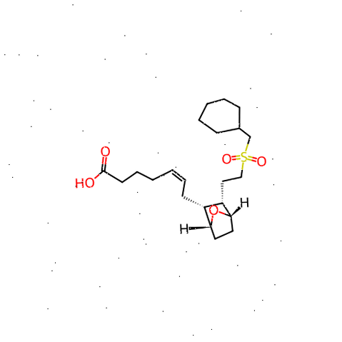 O=C(O)CCC/C=C\C[C@@H]1[C@H](CCS(=O)(=O)CC2CCCCC2)[C@@H]2CC[C@H]1O2